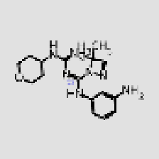 CC1(C)C=NN1/C(=N\C(=N)NC1CCOCC1)Nc1cccc(N)c1